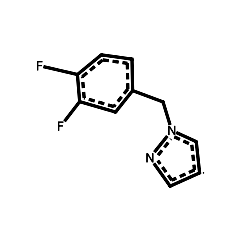 Fc1ccc(Cn2c[c]cn2)cc1F